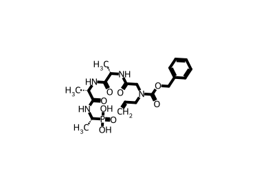 C=CCN(CC(=O)N[C@@H](C)C(=O)N[C@@H](C)C(=O)N[C@@H](C)P(=O)(O)O)C(=O)OCc1ccccc1